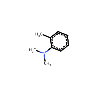 Cc1c[c]ccc1N(C)C